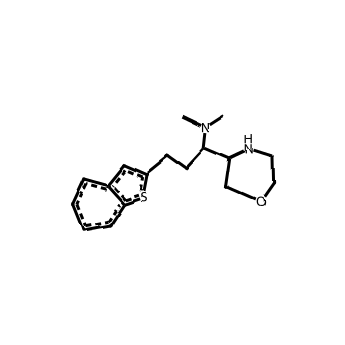 CN(C)C(CCc1cc2ccccc2s1)C1COCCN1